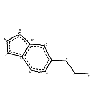 CCCc1ccc2c[c]sc2c1